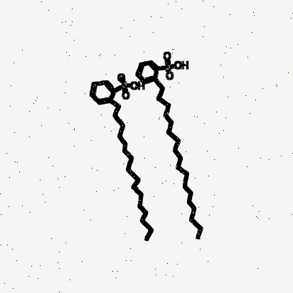 CCCCCCCCCCCCCCCCCCc1ccccc1S(=O)(=O)O.CCCCCCCCCCCCCCCCc1ccccc1S(=O)(=O)O